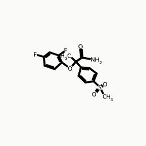 CC(Oc1ccc(F)cc1F)(C(N)=O)c1ccc(S(C)(=O)=O)cc1